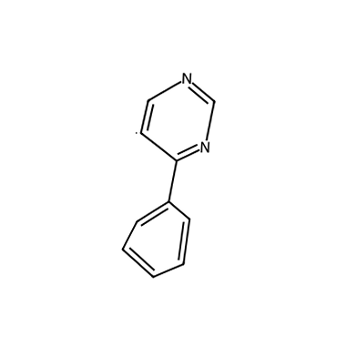 [c]1cncnc1-c1ccccc1